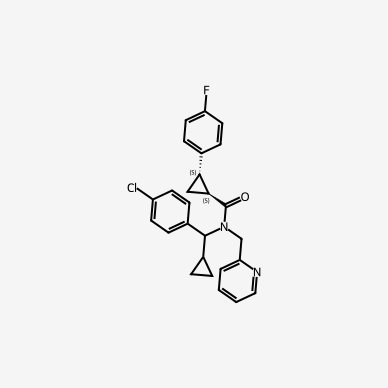 O=C([C@H]1C[C@@H]1c1ccc(F)cc1)N(Cc1ccccn1)C(c1ccc(Cl)cc1)C1CC1